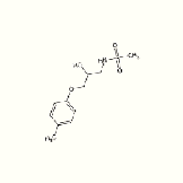 Cc1ccc(OCC(O)CNS(C)(=O)=O)cc1